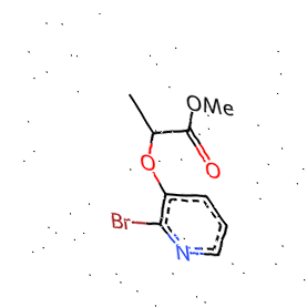 COC(=O)C(C)Oc1cccnc1Br